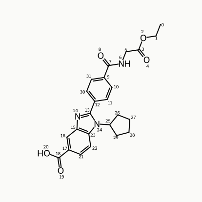 CCOC(=O)CNC(=O)c1ccc(-c2nc3cc(C(=O)O)ccc3n2C2CCCC2)cc1